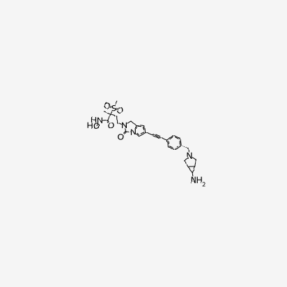 CC(CCN1Cc2cc(C#Cc3ccc(CN4CC5C(N)C5C4)cc3)cn2C1=O)(C(=O)NO)S(C)(=O)=O